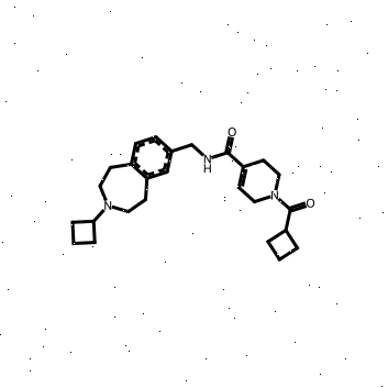 O=C(NCc1ccc2c(c1)CCN(C1CCC1)CC2)C1=CCN(C(=O)C2CCC2)CC1